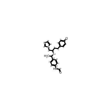 CC(SC(CCc1ccc(Cl)cc1)Cn1ccnc1)c1ccc(NC=O)cc1